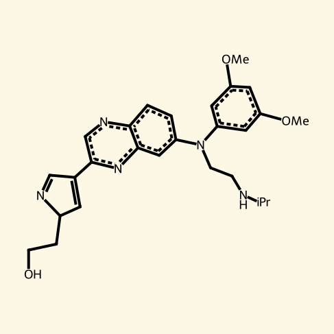 COc1cc(OC)cc(N(CCNC(C)C)c2ccc3ncc(C4=CC(CCO)N=C4)nc3c2)c1